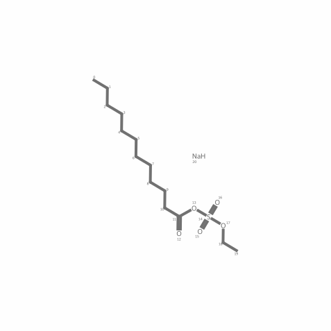 CCCCCCCCCCCC(=O)OS(=O)(=O)OCC.[NaH]